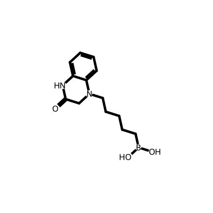 O=C1CN(CCCCCB(O)O)c2ccccc2N1